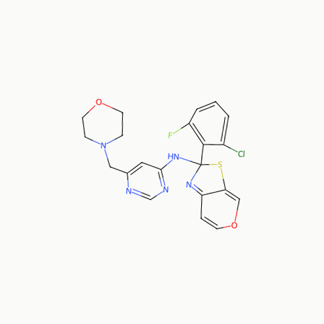 Fc1cccc(Cl)c1C1(Nc2cc(CN3CCOCC3)ncn2)N=C2C=COC=C2S1